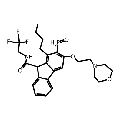 CCCCc1c([PH2]=O)c(OCCN2CCOCC2)cc2c1C(C(=O)NCC(F)(F)F)c1ccccc1-2